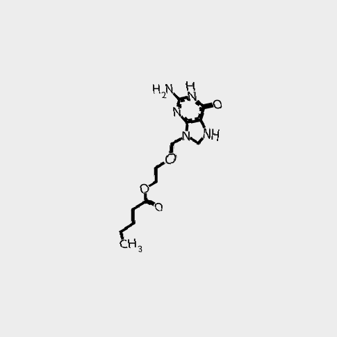 CCCCC(=O)OCCOCN1CNc2c1nc(N)[nH]c2=O